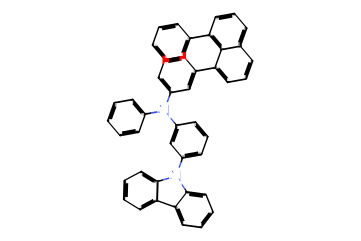 c1ccc(-c2cccc3cccc(-c4cccc(N(c5ccccc5)c5cccc(-n6c7ccccc7c7ccccc76)c5)c4)c23)cc1